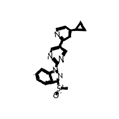 C[S+]([O-])c1nn(-c2ncc(-c3cc(C4CC4)ccn3)cn2)c2c[c]ccc12